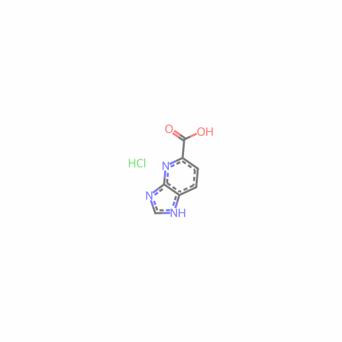 Cl.O=C(O)c1ccc2[nH]cnc2n1